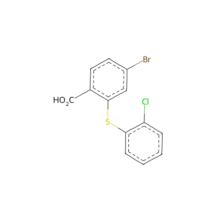 O=C(O)c1ccc(Br)cc1Sc1ccccc1Cl